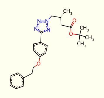 C[C@H](CC(=O)OC(C)(C)C)Cn1nnc(-c2ccc(OCCc3ccccc3)cc2)n1